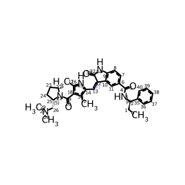 CC[C@@H](NC(=O)c1ccc2c(c1)/C(=C/c1[nH]c(C)c(C(=O)N3CCC[C@H]3CN(C)C)c1C)C(=O)N2)c1ccccc1